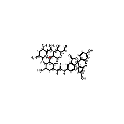 NCC1OC(OC2C(N)CC(NC(=S)Nc3ccc4c(c3)C(=O)OC43c4ccc(O)cc4Oc4cc(O)ccc43)C(OC3OC(CO)C(O)C(N)C3O)C2O)C(N)CC1O